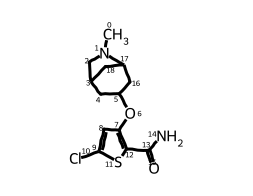 CN1CC2CC(Oc3cc(Cl)sc3C(N)=O)CC1C2